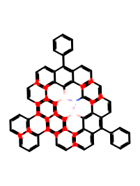 c1ccc(-c2c3ccccc3c(B(c3c4ccccc4c(-c4ccccc4)c4ccccc34)N(B(c3c4ccccc4c(-c4ccccc4)c4ccccc34)c3c4ccccc4c(-c4ccccc4)c4ccccc34)c3ccccc3)c3ccccc23)cc1